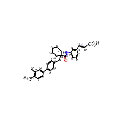 COc1ccc(-c2ccc(CC3(C(=O)Nc4cccc(/C=C/C(=O)O)c4)CCCCC3)cc2)cc1C